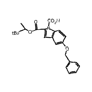 CC(OC(=O)c1cc2cc(OCc3ccccc3)ccc2n1C(=O)O)C(C)(C)C